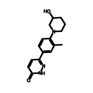 Cc1cc(-c2ccc(=O)[nH]n2)ccc1N1CCCC(O)C1